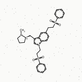 CN1CCC[C@@H]1Cc1cn(CCS(=O)(=O)c2ccccc2)c2ccc(CCS(=O)(=O)c3ccccc3)cc12